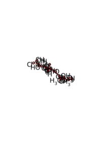 CC(C)[C@@H](C(=O)N1C[C@H](O)C[C@H]1C(=O)NCc1ccc2c(c1)OCc1ncsc1-2)c1cc(OCCCCC(=O)N2CCN(CC[C@H](CSc3ccccc3)Nc3ccc(S(=O)(=O)NC(=O)c4ccc(N5CCN(CC6=C(c7ccc(Cl)cc7)CCC(C)(C)C6)C[C@@H]5CO)cc4)cc3S(=O)(=O)C(F)(F)F)CC2)no1